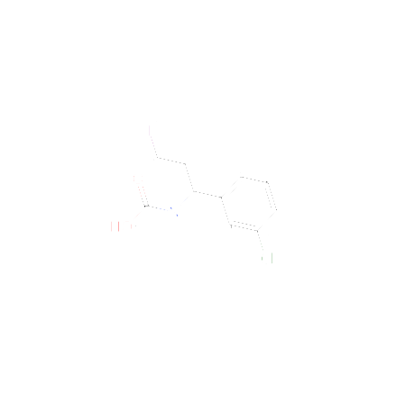 O=C(O)NC(CCI)c1cccc(Cl)c1